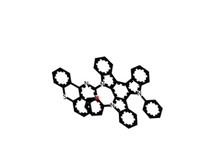 c1ccc(-n2c3ccccc3c3c4c5ccccc5n(-c5nc6c7c(cccc7n5)Sc5ccccc5-6)c4c4c(c5ccccc5n4-c4ccccc4)c32)cc1